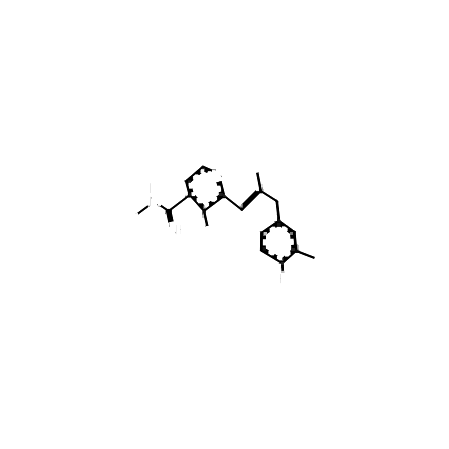 CNC(=N)c1ccnc(/C=C(\C)Cc2ccc(F)c(C)c2)c1C